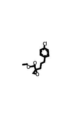 CCOC(=O)C1(CCCc2ccc(Cl)cc2)CO1